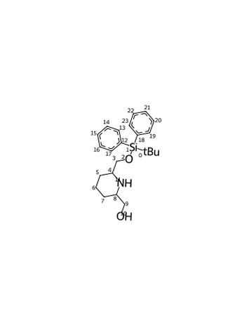 CC(C)(C)[Si](OCC1CCCC(CO)N1)(c1ccccc1)c1ccccc1